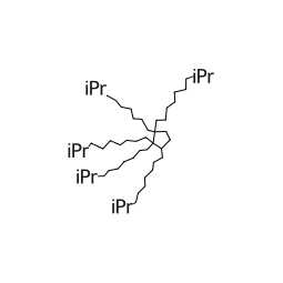 CC(C)CCCCCCCC1CCC(CCCCCCCC(C)C)(CCCCCCCC(C)C)C1(CCCCCCCC(C)C)CCCCCCCC(C)C